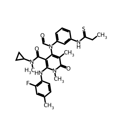 CCC(=S)Nc1cccc(N(C=O)c2c(C(=O)N(C)C3CC3)c(Nc3ccc(C)cc3F)n(C)c(=O)c2C)c1